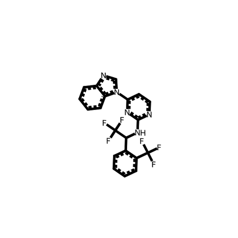 FC(F)(F)c1ccccc1C(Nc1nccc(-n2cnc3ccccc32)n1)C(F)(F)F